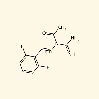 CC(=O)N(/N=C/c1c(F)cccc1F)C(=N)N